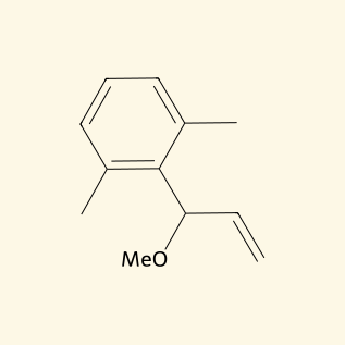 [CH2]OC(C=C)c1c(C)cccc1C